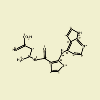 CC(CC(=N)C(=O)O)NC(=O)c1ccsc1Nc1ccnc2[nH]ccc12